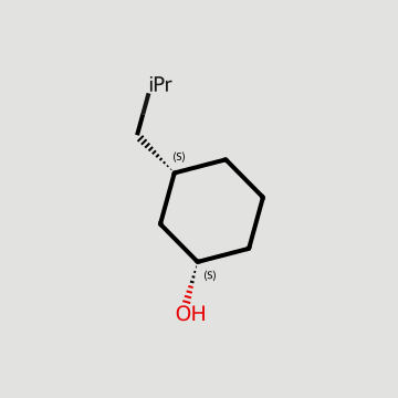 CC(C)C[C@@H]1CCC[C@H](O)C1